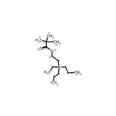 CCC[N+](CC)(CCC)CCOC(=O)C(C)(C)C